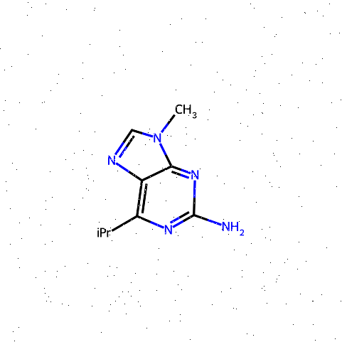 CC(C)c1nc(N)nc2c1ncn2C